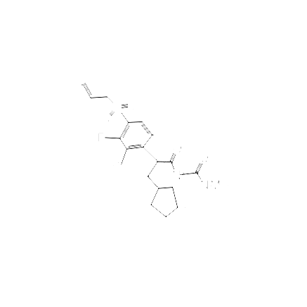 C=CCS(=O)(=O)c1ccc(C(CC2CCCC2)C(=O)NC(=O)NC)c(C)c1F